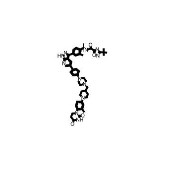 Cc1cc(-c2n[nH]c3ncc(-c4ccc(N5CCN(CC6CCN(c7ccc(N8CCC(=O)NC8=O)c(C)c7)CC6)CC5)cc4)cc23)ccc1[C@@H](C)NC(=O)c1nc(C(C)(C)C)no1